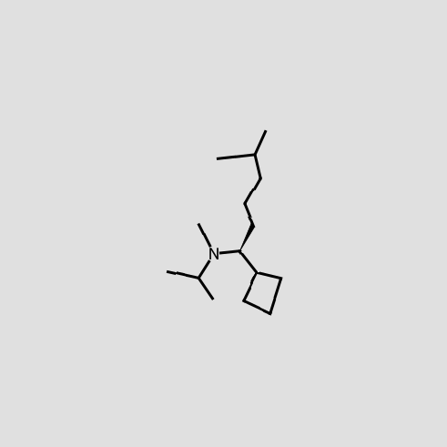 CC(C)CCC[C@@H](C1CCC1)N(C)C(C)C